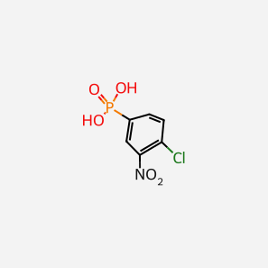 O=[N+]([O-])c1cc(P(=O)(O)O)ccc1Cl